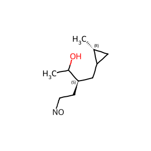 CC(O)[C@H](CCN=O)CC1C[C@H]1C